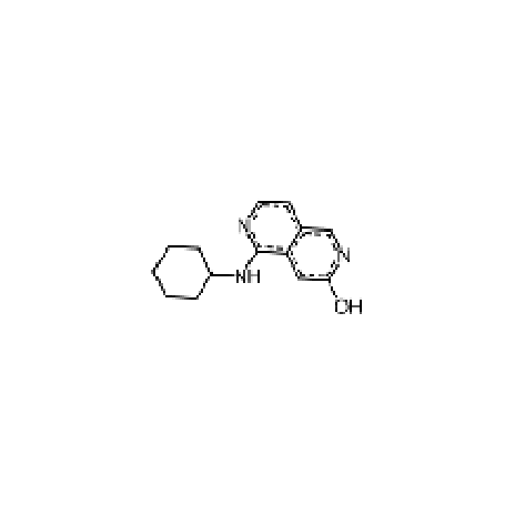 Oc1cc2c(NC3CCCCC3)nccc2cn1